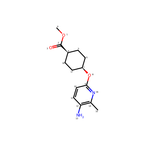 COC(=O)[C@H]1CC[C@@H](Oc2ccc(N)c(C)n2)CC1